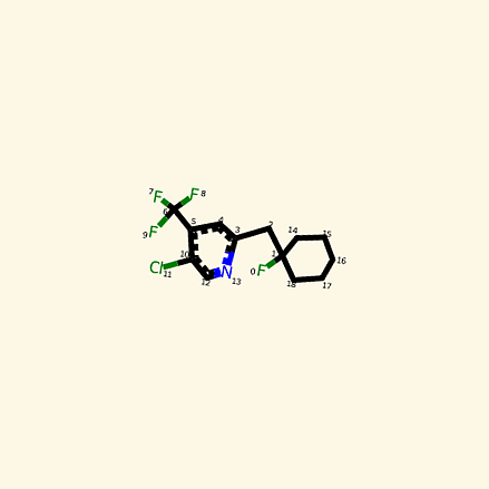 FC1(Cc2cc(C(F)(F)F)c(Cl)cn2)CCCCC1